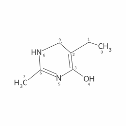 CCC1=C(O)N=C(C)N[CH]1